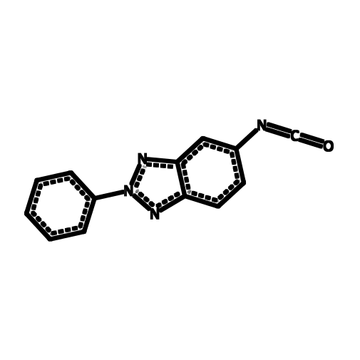 O=C=Nc1ccc2nn(-c3ccccc3)nc2c1